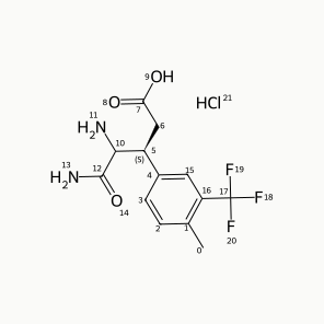 Cc1ccc([C@H](CC(=O)O)C(N)C(N)=O)cc1C(F)(F)F.Cl